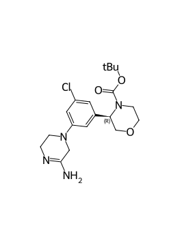 CC(C)(C)OC(=O)N1CCOC[C@H]1c1cc(Cl)cc(N2CCN=C(N)C2)c1